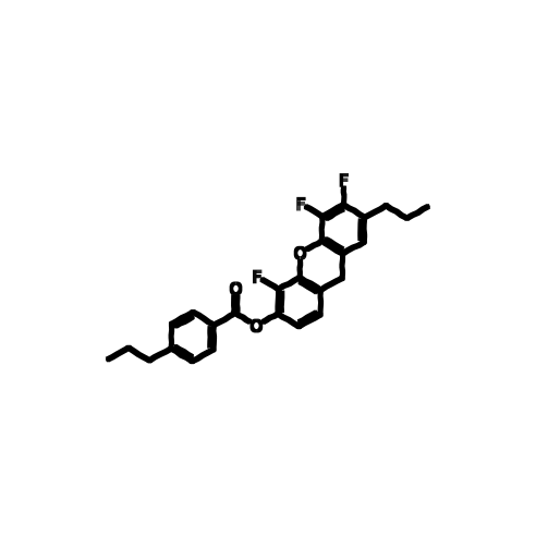 CCCc1ccc(C(=O)Oc2ccc3c(c2F)Oc2c(cc(CCC)c(F)c2F)C3)cc1